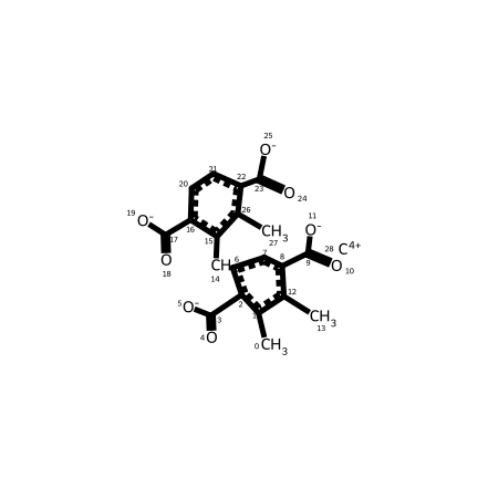 Cc1c(C(=O)[O-])ccc(C(=O)[O-])c1C.Cc1c(C(=O)[O-])ccc(C(=O)[O-])c1C.[C+4]